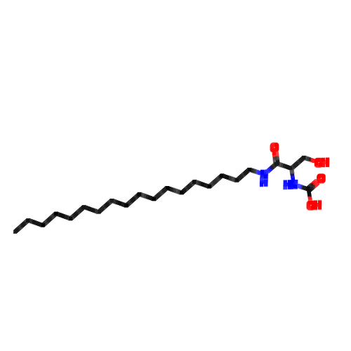 CCCCCCCCCCCCCCCCCCNC(=O)C(CO)NC(=O)O